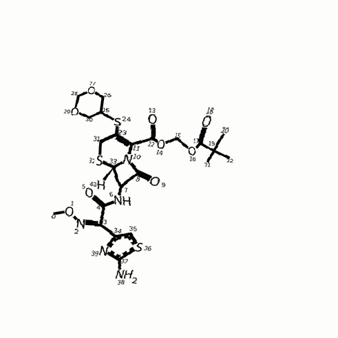 CO/N=C(\C(=O)NC1C(=O)N2C(C(=O)OCOC(=O)C(C)(C)C)=C(SC3COCOC3)CS[C@@H]12)c1csc(N)n1